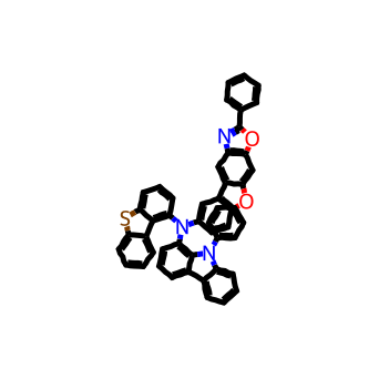 c1ccc(-c2nc3cc4c(cc3o2)oc2ccc(N(c3cccc5sc6ccccc6c35)c3cccc5c6ccccc6n(-c6ccccc6)c35)cc24)cc1